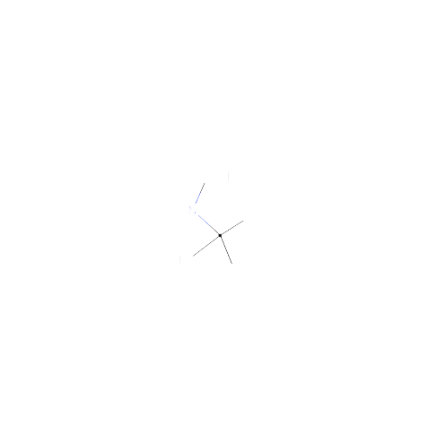 CCC(C)(CC)NS(=O)(=O)O